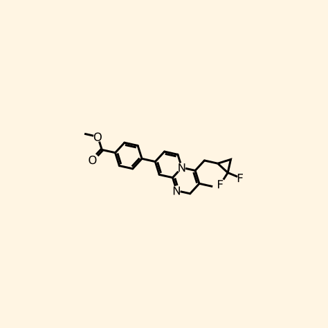 COC(=O)c1ccc(C2=CC3=NCC(C)=C(CC4CC4(F)F)N3C=C2)cc1